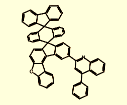 c1ccc(-c2cc(-c3ccc4c(c3)-c3c(ccc5oc6ccccc6c35)C43c4ccccc4C4(c5ccccc5-c5ccccc54)c4ccccc43)nc3ccccc23)cc1